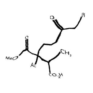 COC(=O)C(CCC(=O)CC(C)C)(C(C)=O)C(C)C(=O)O